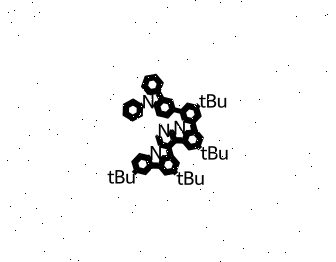 CC(C)(C)c1ccc2c(c1)c1cc(C(C)(C)C)cc3c4c5c6cc(C(C)(C)C)cc7c8cc(C(C)(C)C)cc(-c9ccc%10c(c9)c9ccccc9n%10-c9ccccc9)c8n(c5ncc4n2c13)c76